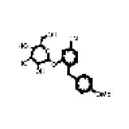 COc1ccc(Cc2ccc(C#N)cc2O[C@@H]2O[C@H](CO)[C@@H](O)[C@H](O)[C@H]2O)cc1